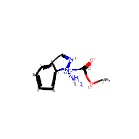 CC(C)(C)OC(=O)[N@@+]1(N)N=Cc2ccccc21